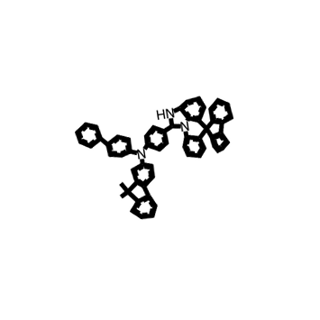 CC1(C)c2ccccc2-c2ccc(N(c3ccc(-c4ccccc4)cc3)c3ccc(C4Nc5cccc6c5N4c4ccccc4C64c5ccccc5-c5ccccc54)cc3)cc21